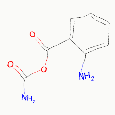 NC(=O)OC(=O)c1ccccc1N